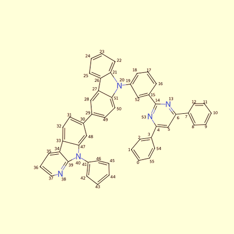 c1ccc(-c2cc(-c3ccccc3)nc(-c3cccc(-n4c5ccccc5c5cc(-c6ccc7c8cccnc8n(-c8ccccc8)c7c6)ccc54)c3)n2)cc1